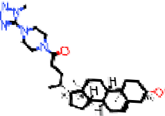 CC(CCC(=O)N1CCN(c2nnnn2C)CC1)[C@H]1CC[C@H]2[C@@H]3CC=C4C[C@@H](O)CC[C@]4(C)[C@H]3CC[C@]12C